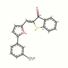 O=C(O)c1cccc(-c2ccc(/C=C3\Sc4ccccc4C3=O)o2)c1